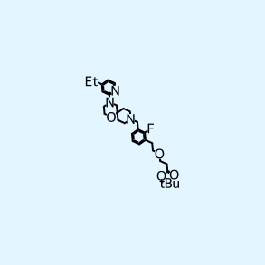 CCc1ccnc(N2CCOC3(CCN(Cc4cccc(CCOCCC(=O)OC(C)(C)C)c4F)CC3)C2)c1